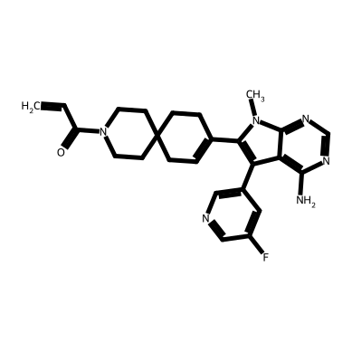 C=CC(=O)N1CCC2(CC=C(c3c(-c4cncc(F)c4)c4c(N)ncnc4n3C)CC2)CC1